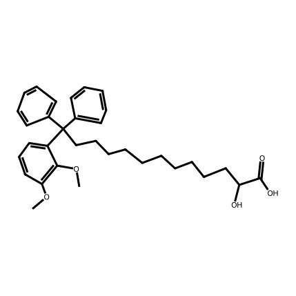 COc1cccc(C(CCCCCCCCCCC(O)C(=O)O)(c2ccccc2)c2ccccc2)c1OC